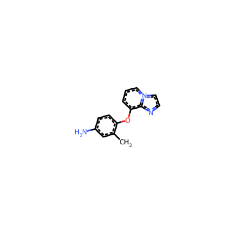 Cc1cc(N)ccc1Oc1cccn2ccnc12